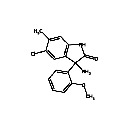 COc1ccccc1C1(N)C(=O)Nc2cc(C)c(Cl)cc21